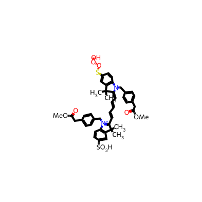 COC(=O)Cc1ccc(CN2/C(=C/C=C/C=C/C3=[N+](Cc4ccc(CC(=O)OC)cc4)c4ccc(S(=O)(=O)O)cc4C3(C)C)C(C)(C)c3cc(SOOO)ccc32)cc1